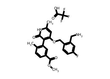 COC(=O)c1ccc(C)c(-c2c(OCc3ccc(F)cc3CN)cc(C)[nH]c2=O)c1.O=C(O)C(F)(F)F